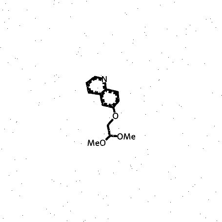 COC(COc1ccc2ncccc2c1)OC